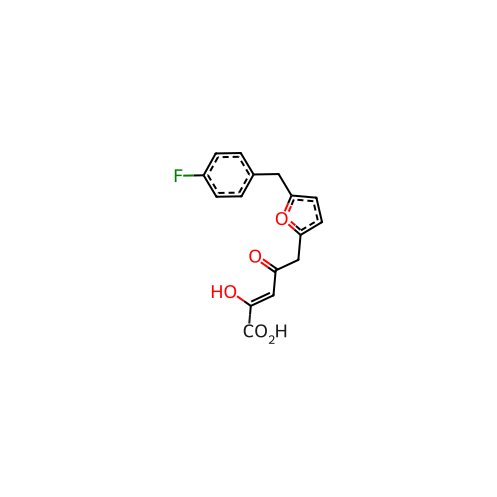 O=C(C=C(O)C(=O)O)Cc1ccc(Cc2ccc(F)cc2)o1